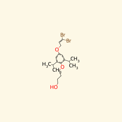 CC(C)c1cc(OCC=C(Br)Br)cc(C(C)C)c1OCCCCO